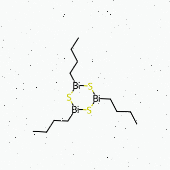 CCC[CH2][Bi]1[S][Bi]([CH2]CCC)[S][Bi]([CH2]CCC)[S]1